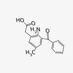 Cc1cc(CC(=O)O)c(N)c(C(=O)c2ccccc2)c1